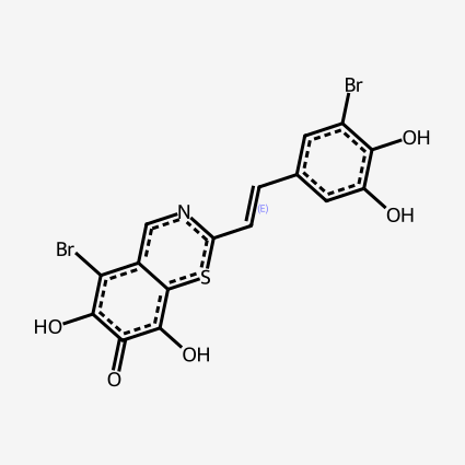 O=c1c(O)c2sc(/C=C/c3cc(O)c(O)c(Br)c3)ncc-2c(Br)c1O